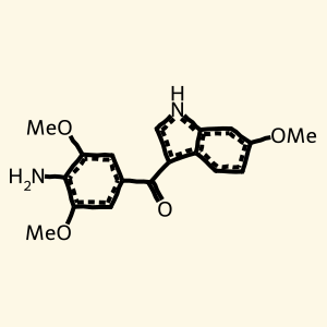 COc1ccc2c(C(=O)c3cc(OC)c(N)c(OC)c3)c[nH]c2c1